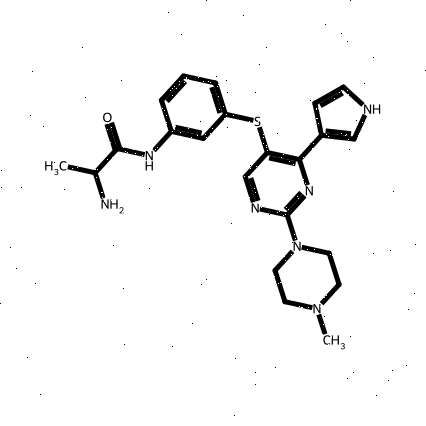 CC(N)C(=O)Nc1cccc(Sc2cnc(N3CCN(C)CC3)nc2-c2cc[nH]c2)c1